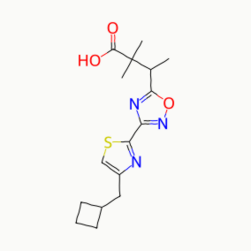 CC(c1nc(-c2nc(CC3CCC3)cs2)no1)C(C)(C)C(=O)O